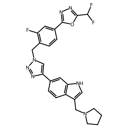 Fc1cc(-c2nnc(C(F)F)o2)ccc1Cn1cc(-c2ccc3c(CN4CCCC4)c[nH]c3c2)nn1